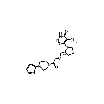 Cc1c(N2CCC[C@H]2COCC(=O)N2CCN(c3ccccn3)CC2)cn[nH]c1=O